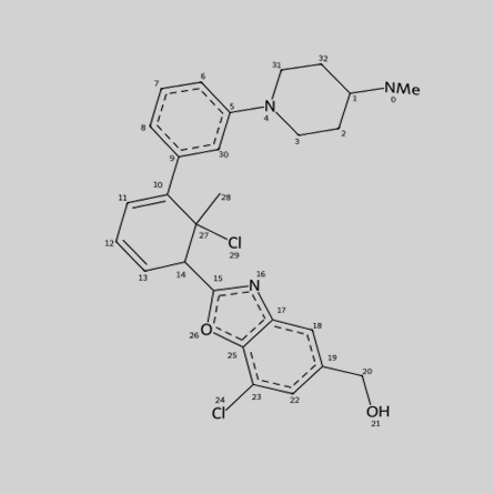 CNC1CCN(c2cccc(C3=CC=CC(c4nc5cc(CO)cc(Cl)c5o4)C3(C)Cl)c2)CC1